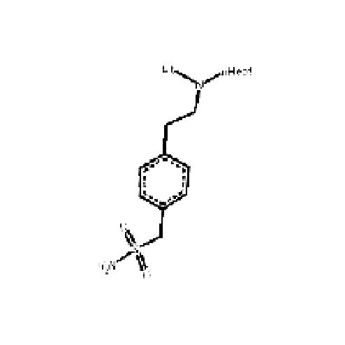 CCCCCCCN(CC)CCc1ccc(CS(N)(=O)=O)cc1